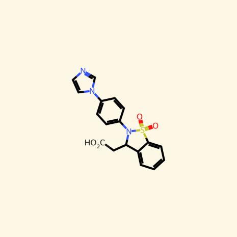 O=C(O)CC1c2ccccc2S(=O)(=O)N1c1ccc(-n2ccnc2)cc1